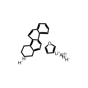 [Al+3].[H-].[H-].[H-].[H-].[Li+].c1ccc2c(c1)ccc1c3c(ccc12)CCCC3.c1ccoc1